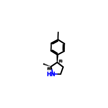 Cc1ccc([C@H]2CCN[C@@H]2C)cc1